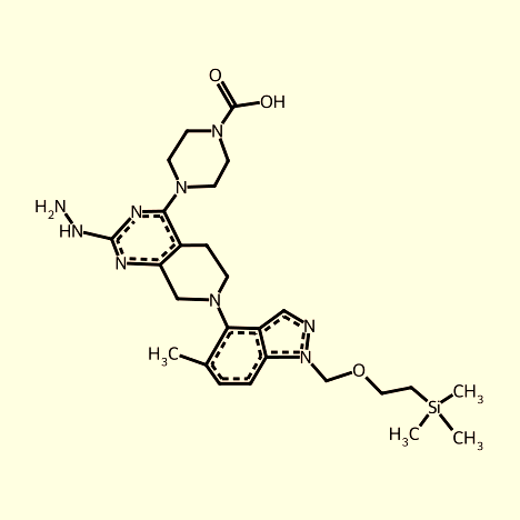 Cc1ccc2c(cnn2COCC[Si](C)(C)C)c1N1CCc2c(nc(NN)nc2N2CCN(C(=O)O)CC2)C1